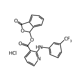 Cl.O=C1OC(OC(=O)c2cccnc2Nc2cccc(C(F)(F)F)c2)c2ccccc21